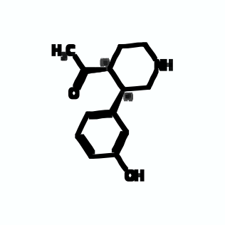 CC(=O)[C@H]1CCNC[C@H]1c1cccc(O)c1